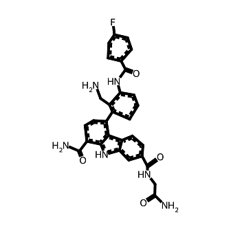 NCc1c(NC(=O)c2ccc(F)cc2)cccc1-c1ccc(C(N)=O)c2[nH]c3cc(C(=O)NCC(N)=O)ccc3c12